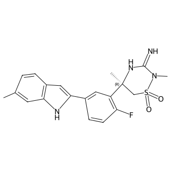 Cc1ccc2cc(-c3ccc(F)c([C@]4(C)CS(=O)(=O)N(C)C(=N)N4)c3)[nH]c2c1